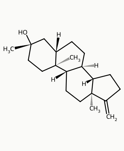 C=C1CC[C@H]2[C@@H]3CC[C@H]4C[C@@](C)(O)CC[C@]4(C)[C@H]3CC[C@]12C